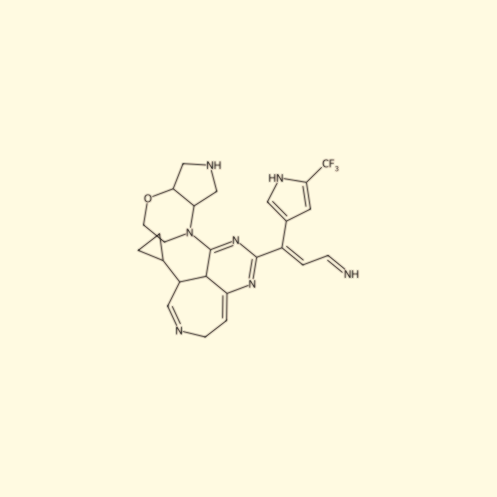 N=C/C=C(/C1=NC2=CCN=CC(C3CC3)C2C(N2CCOC3CNCC32)=N1)c1c[nH]c(C(F)(F)F)c1